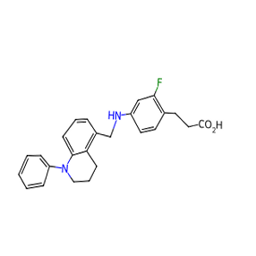 O=C(O)CCc1ccc(NCc2cccc3c2CCCN3c2ccccc2)cc1F